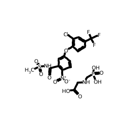 CS(=O)(=O)NC(=O)c1cc(Oc2ccc(C(F)(F)F)cc2Cl)ccc1[N+](=O)[O-].O=C(O)CNCP(=O)(O)O